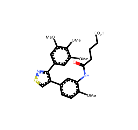 COc1ccc(-c2csnc2-c2cc(OC)c(OC)c(OC)c2)cc1NC(=O)CCCC(=O)O